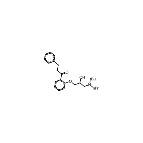 CCCN(CC(O)COc1ccccc1C(=O)CCc1ccccc1)C(C)(C)C